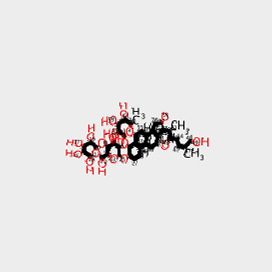 CC1O[C@@H](O[C@H]2C(O)[C@H](O[C@@H]3OC(O)[C@H](O)C(O)[C@@H]3O)C(CO)O[C@H]2OC2CC[C@@]3(C)C(=CC[C@H]4[C@@H]5CC(=O)[C@H]([C@H](C)C(=O)CC[C@@H](C)CO)[C@@]5(C)CC[C@@H]43)C2)[C@@H](O)C(O)[C@H]1O